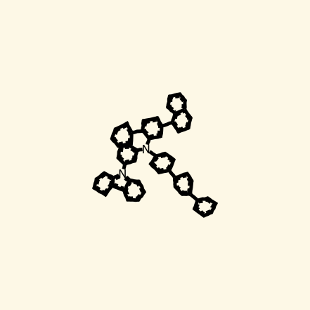 c1ccc(-c2ccc(-c3ccc(N(c4cccc(-n5c6ccccc6c6ccccc65)c4)c4cc(-c5cccc6ccccc56)ccc4-c4ccccc4)cc3)cc2)cc1